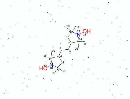 CC1(C)CC(CCC2CC(C)(C)N(O)C2(C)C)C(C)(C)N1O